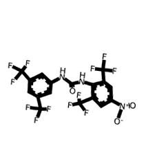 O=C(Nc1cc(C(F)(F)F)cc(C(F)(F)F)c1)Nc1c(C(F)(F)F)cc([N+](=O)[O-])cc1C(F)(F)F